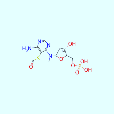 CN(c1ncnc(N)c1SC=O)C1C[C@H](O)C(COP(=O)(O)O)O1